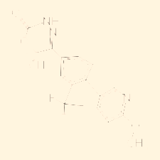 COc1ccc(-c2ccc(C3=NNC(=O)O[C@H]3C)cc2C(F)(F)F)cn1